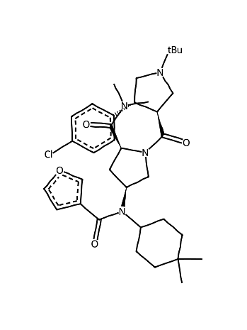 CN(C)C(=O)[C@@H]1C[C@H](N(C(=O)c2ccoc2)C2CCC(C)(C)CC2)CN1C(=O)[C@@H]1CN(C(C)(C)C)C[C@H]1c1ccc(Cl)cc1